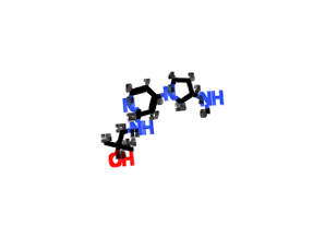 CNC1CCN(c2ccnc(NCC(C)(C)O)c2)C1